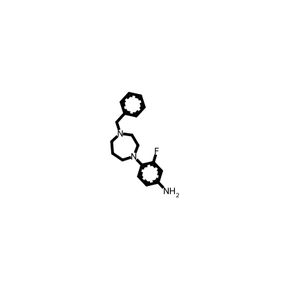 Nc1ccc(N2CCCN(Cc3ccccc3)CC2)c(F)c1